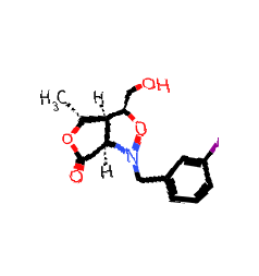 C[C@H]1OC(=O)[C@H]2[C@@H]1[C@@H](CO)ON2Cc1cccc(I)c1